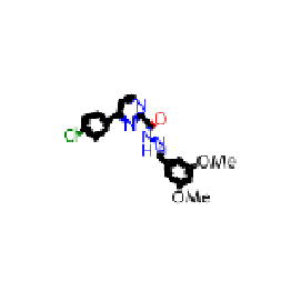 COc1cc(/C=N/NC(=O)c2nccc(-c3ccc(Cl)cc3)n2)cc(OC)c1